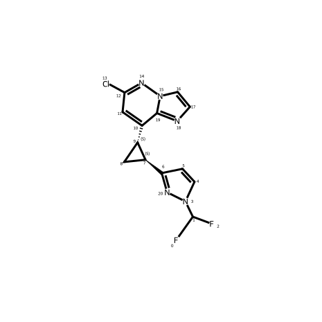 FC(F)n1ccc([C@H]2C[C@@H]2c2cc(Cl)nn3ccnc23)n1